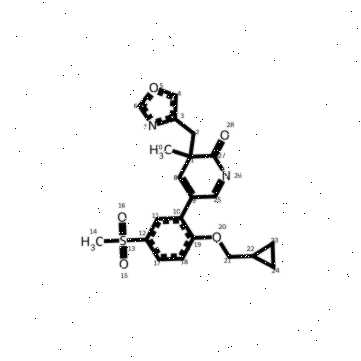 CC1(Cc2cocn2)C=C(c2cc(S(C)(=O)=O)ccc2OCC2CC2)C=NC1=O